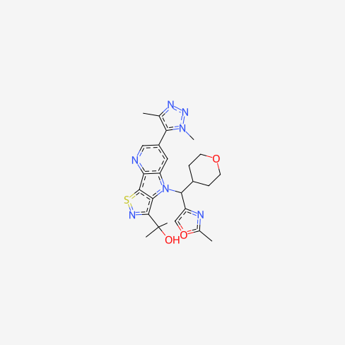 Cc1nc(C(C2CCOCC2)n2c3cc(-c4c(C)nnn4C)cnc3c3snc(C(C)(C)O)c32)co1